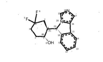 O[C@@H]1CCC(F)(F)C[C@H]1[C@H]1c2ccccc2-c2cncn21